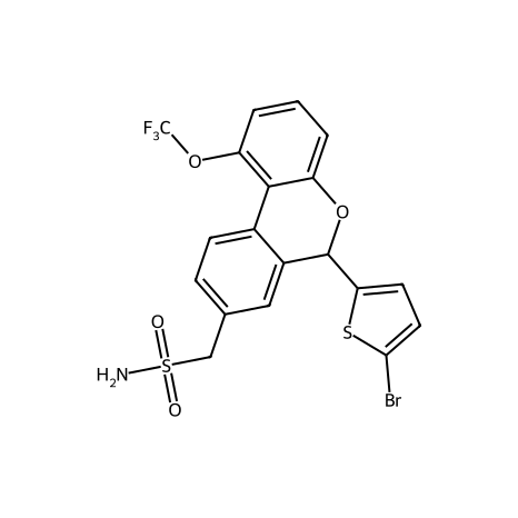 NS(=O)(=O)Cc1ccc2c(c1)C(c1ccc(Br)s1)Oc1cccc(OC(F)(F)F)c1-2